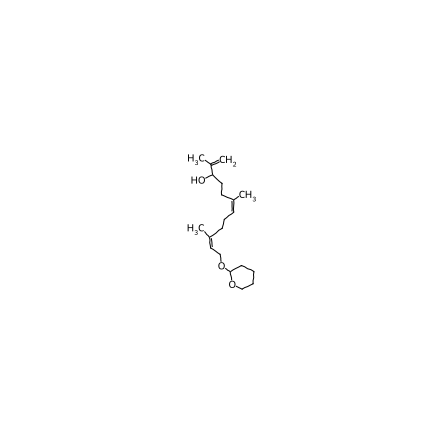 C=C(C)C(O)CC/C(C)=C\CC/C(C)=C\COC1CCCCO1